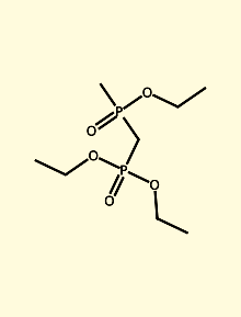 CCOP(C)(=O)CP(=O)(OCC)OCC